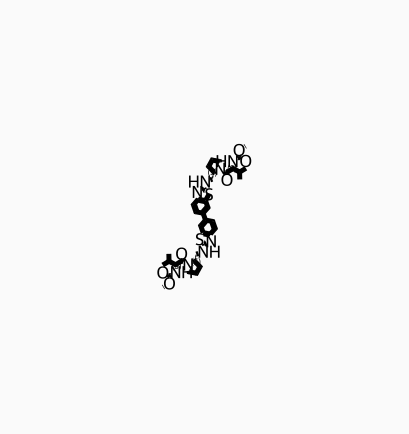 COC(=O)N[C@H](C(=O)N1CCC[C@H]1CNc1nc2ccc(-c3ccc4nc(NC[C@@H]5CCCN5C(=O)[C@@H](NC(=O)OC)C(C)C)sc4c3)cc2s1)C(C)C